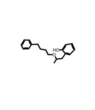 CC(Cc1ccccc1O)OCCCCc1ccccc1